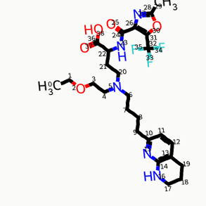 CCOCCN(CCCCc1ccc2c(n1)NCCC2)CCC(NC(=O)c1nc(C)oc1C(F)(F)F)C(=O)O